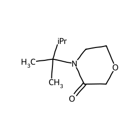 CC(C)C(C)(C)N1CCOCC1=O